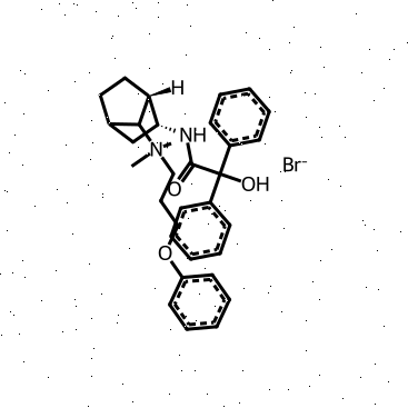 C[N+](C)(CCCOc1ccccc1)C1C2CC[C@@H]1[C@H](NC(=O)C(O)(c1ccccc1)c1ccccc1)C2.[Br-]